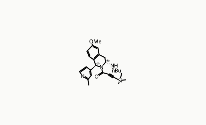 CCCCN[C@H]1Cc2cc(OC)ccc2[C@H](c2ccnc(C)c2)N1C(=O)C#C[Si](C)(C)C